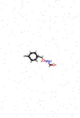 Cc1ccc(CONC=O)cc1